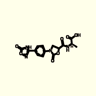 C[C@@H](NC(=O)C1CN(c2ccc(-c3noc(=O)[nH]3)cc2)C(=O)O1)C(=O)O